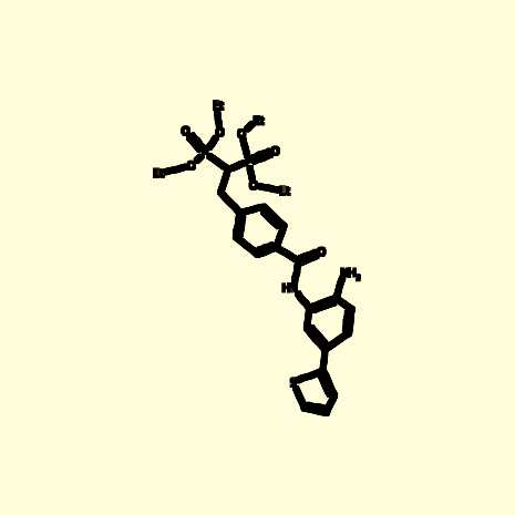 CCOP(=O)(OCC)C(Cc1ccc(C(=O)Nc2cc(-c3cccs3)ccc2N)cc1)P(=O)(OCC)OCC